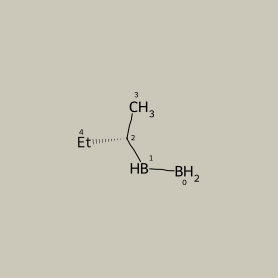 BB[C@@H](C)CC